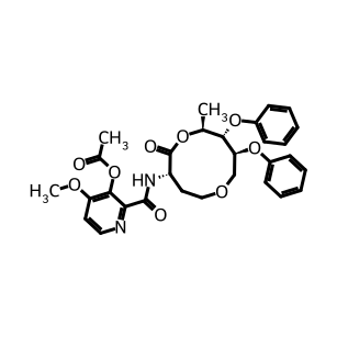 COc1ccnc(C(=O)N[C@H]2CCOC[C@H](Oc3ccccc3)[C@@H](Oc3ccccc3)[C@H](C)OC2=O)c1OC(C)=O